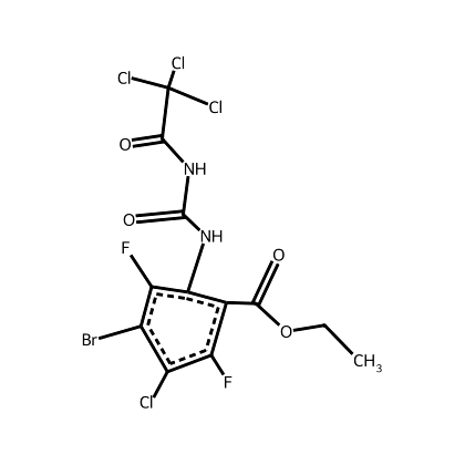 CCOC(=O)c1c(F)c(Cl)c(Br)c(F)c1NC(=O)NC(=O)C(Cl)(Cl)Cl